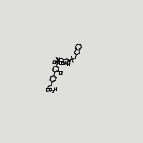 CN(CC(O)CNC(C)(C)CC1Cc2ccccc2C1)S(=O)(=O)c1ccc(-c2ccc(CCC(=O)O)cc2)c(Cl)c1